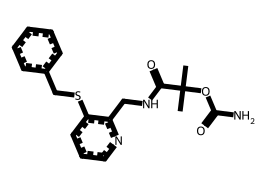 CC(C)(OC(N)=O)C(=O)NCc1ncccc1SCc1ccccc1